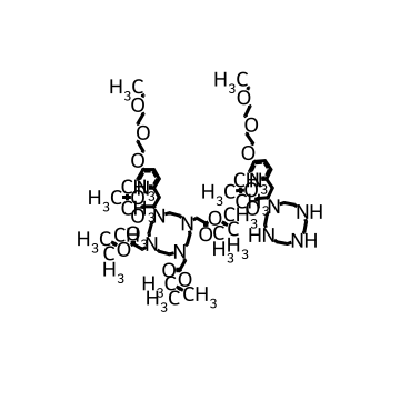 CCOCCOCCOc1ccc(CC(C(=O)OC(C)(C)C)N2CCN(CC(=O)OC(C)(C)C)CCN(CC(=O)OC(C)(C)C)CCN(CC(=O)OC(C)(C)C)CC2)nc1.CCOCCOCCOc1ccc(CC(C(=O)OC(C)(C)C)N2CCNCCNCCNCC2)nc1